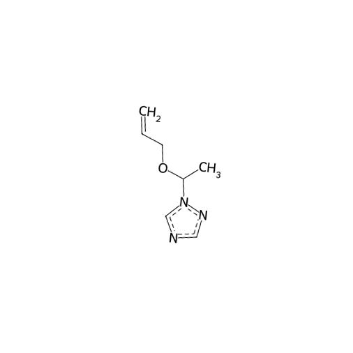 C=CCOC(C)n1cncn1